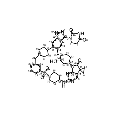 Cn1nc(N2CCC(=O)NC2=O)c2cc(F)c(C3CCN(Cc4cccc(S(=O)(=O)N5CCC(Nc6ncc7c(n6)N([C@@H]6CCC[C@@H](O)C6)C(=O)C76CC6)CC5)c4)CC3)cc21